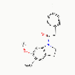 COc1cc2c(cc1OC(F)(F)F)N(C(=O)Cc1ccc(Cl)cc1)CC2